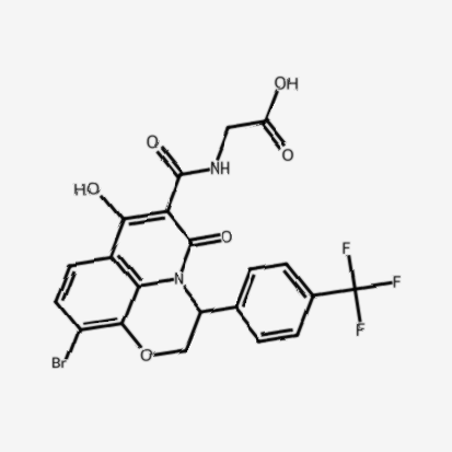 O=C(O)CNC(=O)c1c(O)c2ccc(Br)c3c2n(c1=O)C(c1ccc(C(F)(F)F)cc1)CO3